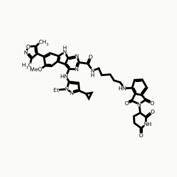 CCn1nc(C2CC2)cc1Nc1nc(C(=O)NCCCCCNc2cccc3c2C(=O)N(C2CCC(=O)NC2=O)C3=O)nc2[nH]c3cc(-c4c(C)noc4C)c(OC)cc3c12